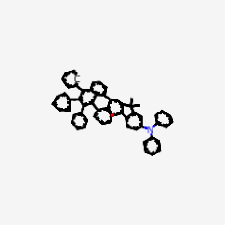 CC1(C)c2cc(-c3cccc4c(-c5ccccc5)c(-c5ccccc5)c(-c5ccccc5)c(-c5ccccc5)c34)ccc2-c2ccc(N(c3ccccc3)c3ccccc3)cc21